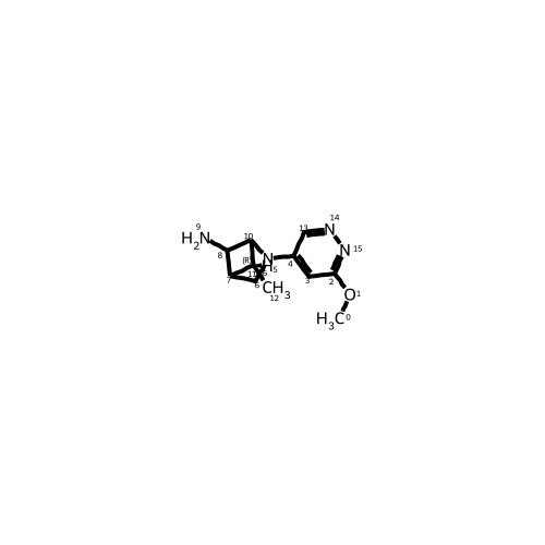 COc1cc(N2CC3C(N)C2[C@@H]3C)cnn1